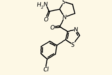 NC(=O)C1SCCN1C(=O)c1ncsc1-c1cccc(Cl)c1